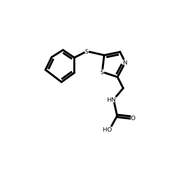 O=C(O)NCc1ncc(Sc2ccccc2)s1